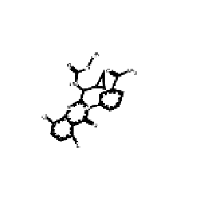 CC(C)(C)OC(=O)NC(c1nc2c(Cl)ccc(Cl)c2c(=O)n1-c1cccc(C(N)=O)c1)C1CC1